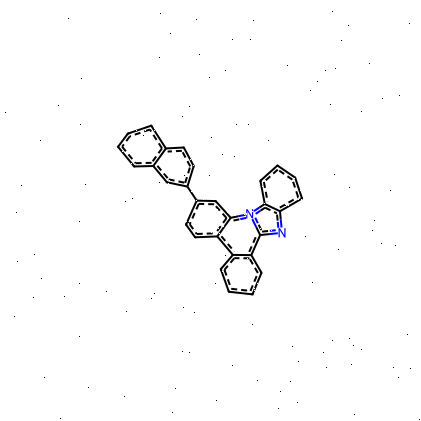 c1ccc2cc(-c3ccc4c5ccccc5c5nc6ccccc6n5c4c3)ccc2c1